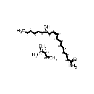 CCCCCC[C@@H](O)C/C=C\CCCCCCCC(N)=O.CCCN(C)C